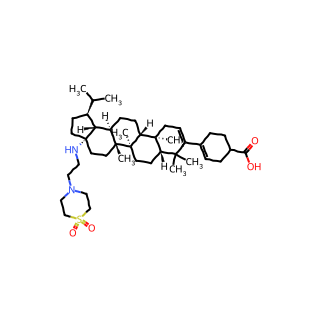 CC(C)[C@@H]1CC[C@]2(NCCN3CCS(=O)(=O)CC3)CC[C@]3(C)[C@H](CC[C@@H]4[C@@]5(C)CC=C(C6=CCC(C(=O)O)CC6)C(C)(C)[C@@H]5CC[C@]43C)[C@@H]12